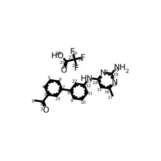 CC(=O)c1cccc(-c2cccc(Nc3cc(C)nc(N)n3)c2)c1.O=C(O)C(F)(F)F